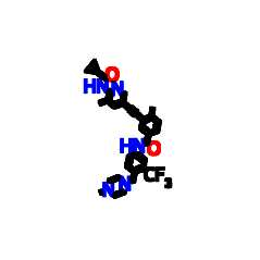 Cc1ccc(C(=O)Nc2ccc(CN3CCN(C)CC3)c(C(F)(F)F)c2)cc1C#Cc1cnc(NC(=O)C2CC2)c(C)c1